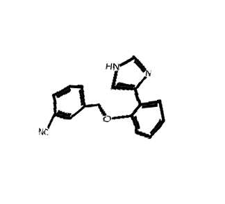 N#Cc1cccc(COc2ccccc2-c2c[nH]cn2)c1